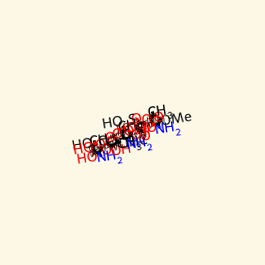 CO[C@H]1OC(C)[C@@H](O[C@@H]2OC(OC=O)[C@@H](O[C@H]3OC(C)[C@@H](O[C@@H]4OC(C(=O)O)[C@@H](O[C@H]5OC(C)[C@@H](O)[C@H](O)C5N)[C@H](O)C4C)CC3N)[C@H](O)C2OS(=O)(=O)O)[C@H](O)C1N